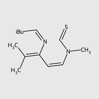 CCC(C)/C=N\C(/C=C\N(C)C=S)=C(C)C